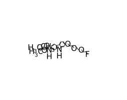 CC(C)(C)OC(=O)Nc1ccc2c(c1)[nH]c1cc(OCCOCCOCCF)ccc12